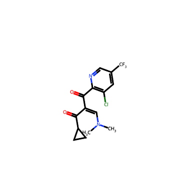 CN(C)C=C(C(=O)c1ncc(C(F)(F)F)cc1Cl)C(=O)C1CC1